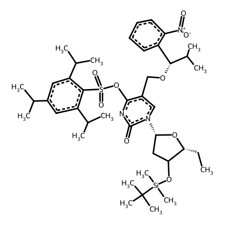 CC[C@H]1O[C@@H](n2cc(CO[C@H](c3ccccc3[N+](=O)[O-])C(C)C)c(OS(=O)(=O)c3c(C(C)C)cc(C(C)C)cc3C(C)C)nc2=O)CC1O[Si](C)(C)C(C)(C)C